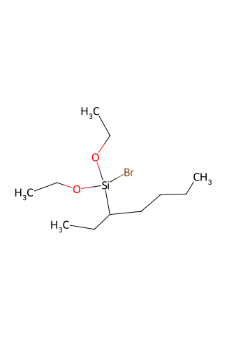 CCCCC(CC)[Si](Br)(OCC)OCC